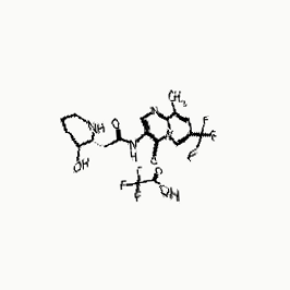 Cc1cc(C(F)(F)F)cn2c(=O)c(NC(=O)C[C@H]3NCCC[C@@H]3O)cnc12.O=C(O)C(F)(F)F